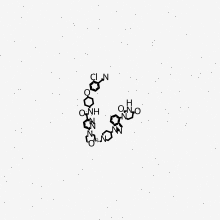 N#Cc1ccc(OC2CCC(NC(=O)c3ccc(N4CCO[C@@H](CN5CCC(n6ncc7c(N8CCC(=O)NC8=O)cccc76)CC5)C4)nn3)CC2)cc1Cl